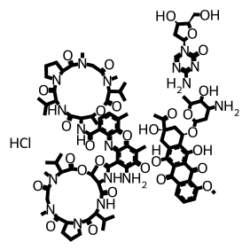 COc1cccc2c1C(=O)c1c(O)c3c(c(O)c1C2=O)C[C@@](O)(C(C)=O)C[C@@H]3OC1CC(N)C(O)C(C)O1.Cc1c2oc3c(C)ccc(C(=O)NC4C(=O)NC(C(C)C)C(=O)N5CCCC5C(=O)N(C)CC(=O)N(C)C(C(C)C)C(=O)OC4C)c3nc-2c(C(=O)NC2C(=O)NC(C(C)C)C(=O)N3CCCC3C(=O)N(C)CC(=O)N(C)C(C(C)C)C(=O)OC2C)c(N)c1=O.Cl.Nc1ncn([C@H]2C[C@H](O)[C@@H](CO)O2)c(=O)n1